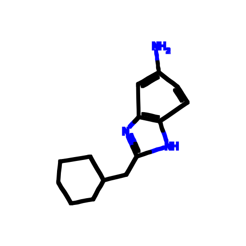 Nc1ccc2[nH]c(CC3CCCCC3)nc2c1